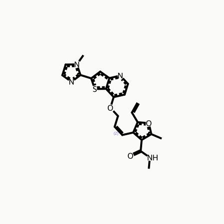 C=Cc1oc(C)c(C(=O)NC)c1/C=C\COc1ccnc2cc(-c3nccn3C)sc12